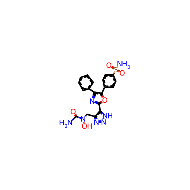 NC(=O)N(O)Cc1nn[nH]c1-c1nc(-c2ccccc2)c(-c2ccc(S(N)(=O)=O)cc2)o1